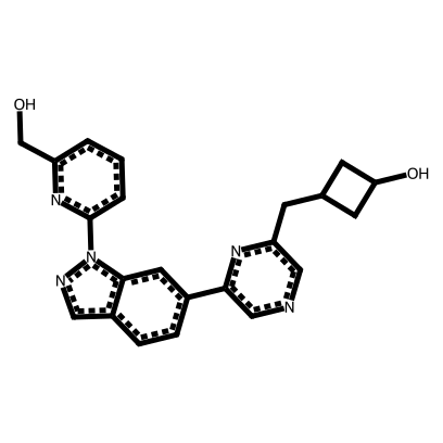 OCc1cccc(-n2ncc3ccc(-c4cncc(CC5CC(O)C5)n4)cc32)n1